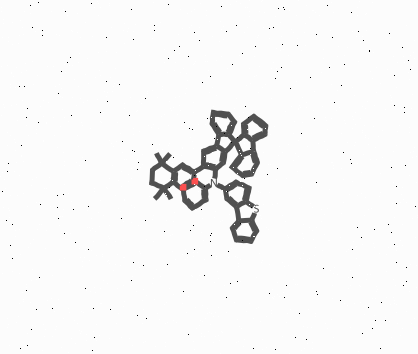 CC1(C)CCC(C)(C)c2cc(-c3cc4c(cc3N(c3ccccc3)c3ccc5sc6ccccc6c5c3)C3(c5ccccc5-c5ccccc53)c3ccccc3-4)ccc21